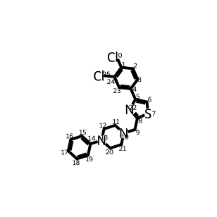 Clc1ccc(-c2csc(CN3CCN(c4ccccc4)CC3)n2)cc1Cl